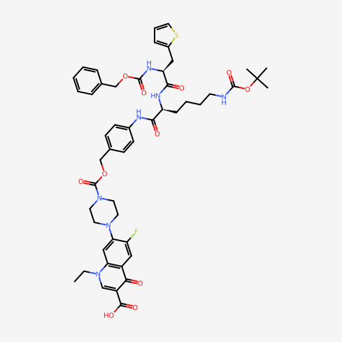 CCn1cc(C(=O)O)c(=O)c2cc(F)c(N3CCN(C(=O)OCc4ccc(NC(=O)[C@H](CCCCNC(=O)OC(C)(C)C)NC(=O)[C@H](Cc5cccs5)NC(=O)OCc5ccccc5)cc4)CC3)cc21